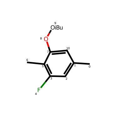 Cc1cc(F)c(C)c(OOCC(C)C)c1